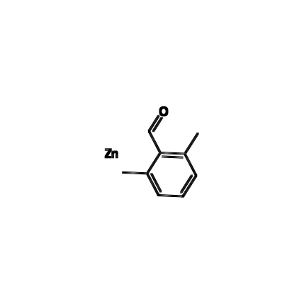 Cc1cccc(C)c1C=O.[Zn]